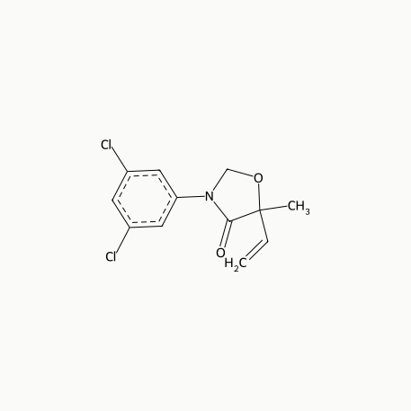 C=CC1(C)OCN(c2cc(Cl)cc(Cl)c2)C1=O